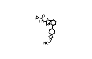 N#CCN1CC2(CCC(c3cccc4nc(NC(=O)C5CC5)nn34)CC2)C1